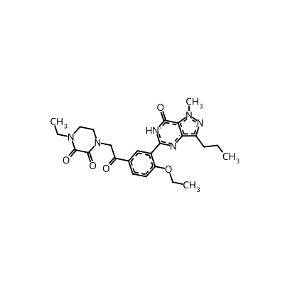 CCCc1nn(C)c2c(=O)[nH]c(-c3cc(C(=O)CN4CCN(CC)C(=O)C4=O)ccc3OCC)nc12